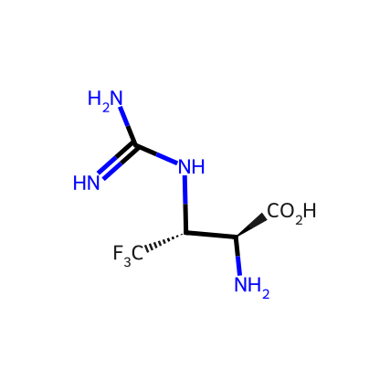 N=C(N)N[C@H]([C@H](N)C(=O)O)C(F)(F)F